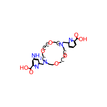 Nc1cc(CN2CCOCCOCCN(Cc3cccc(C(=O)O)n3)CCOCCOCC2)nc(C(=O)O)c1